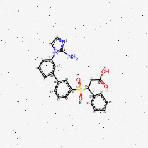 Nc1nccn1-c1cccc(-c2cccc(S(=O)(=O)C(CC(=O)O)c3ccccc3)c2)c1